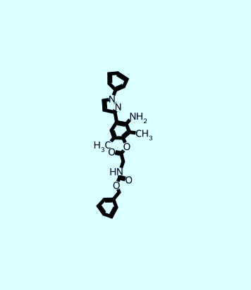 Cc1cc(-c2ccn(-c3ccccc3)n2)c(N)c(C)c1OC(=O)CNC(=O)OCc1ccccc1